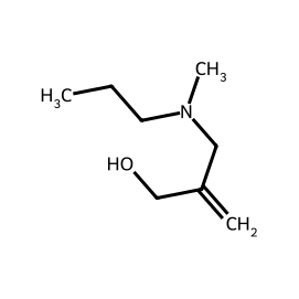 C=C(CO)CN(C)CCC